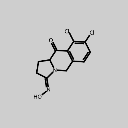 O=C1c2c(ccc(Cl)c2Cl)CN2C(=NO)CCC12